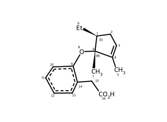 CC[C@H]1CC=C(C)[C@]1(C)Oc1ccccc1CC(=O)O